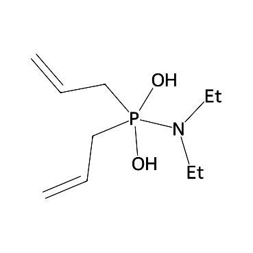 C=CCP(O)(O)(CC=C)N(CC)CC